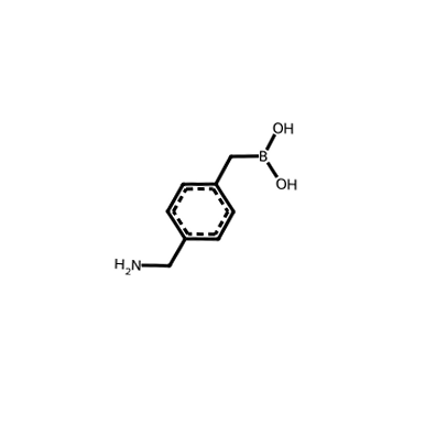 NCc1ccc(CB(O)O)cc1